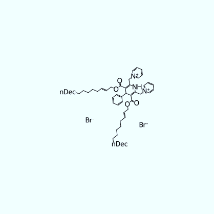 CCCCCCCCCCCCCCCC=CCOC(=O)C1=C(C[n+]2ccccc2)NC(C[n+]2ccccc2)=C(C(=O)OCC=CCCCCCCCCCCCCCCC)C1c1ccccc1.[Br-].[Br-]